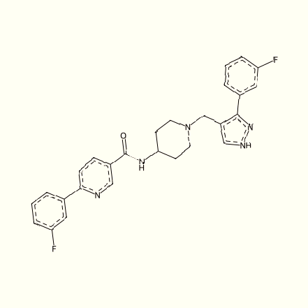 O=C(NC1CCN(Cc2c[nH]nc2-c2cccc(F)c2)CC1)c1ccc(-c2cccc(F)c2)nc1